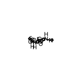 O=C(Nc1ccc(N2C(=O)Cc3cc(NCCCN4CCCC4)ccc3C2=O)c(F)c1)NS(=O)(=O)c1cccs1